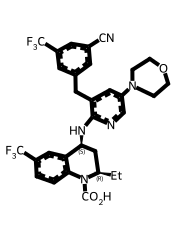 CC[C@@H]1C[C@H](Nc2ncc(N3CCOCC3)cc2Cc2cc(C#N)cc(C(F)(F)F)c2)c2cc(C(F)(F)F)ccc2N1C(=O)O